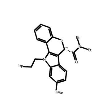 CCN(CC)C(=O)[C@H]1Sc2ccccc2-c2c1c1ccc(OC)cc1n2CC[18F]